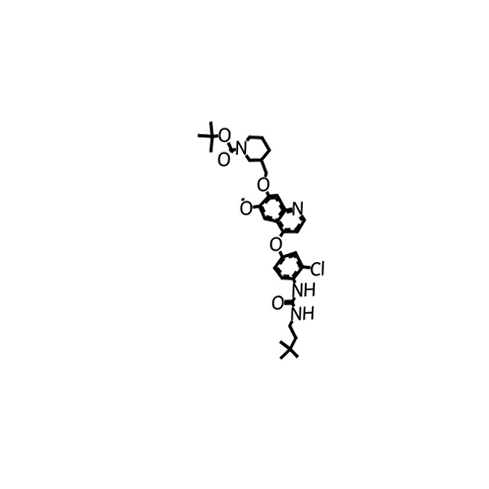 COc1cc2c(Oc3ccc(NC(=O)NCCC(C)(C)C)c(Cl)c3)ccnc2cc1OCC1CCCN(C(=O)OC(C)(C)C)C1